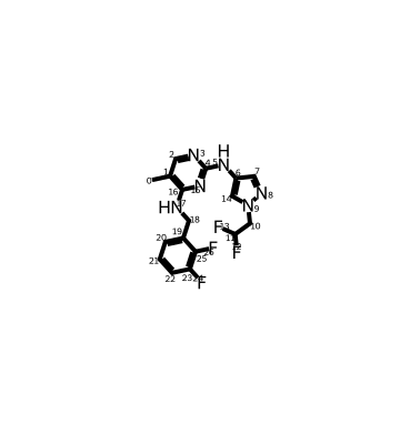 Cc1cnc(Nc2cnn(CC(F)F)c2)nc1NCc1cccc(F)c1F